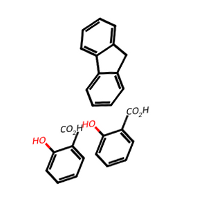 O=C(O)c1ccccc1O.O=C(O)c1ccccc1O.c1ccc2c(c1)Cc1ccccc1-2